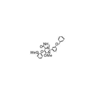 COc1ccccc1Oc1c(OC)nc(-c2cccc(OCc3ccccc3)c2)nc1C(N)=O